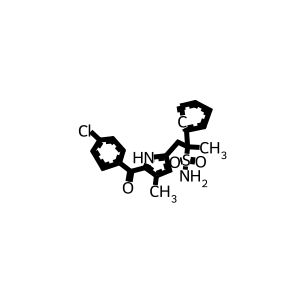 Cc1cc(CC(C)(c2ccccc2)S(N)(=O)=O)[nH]c1C(=O)c1ccc(Cl)cc1